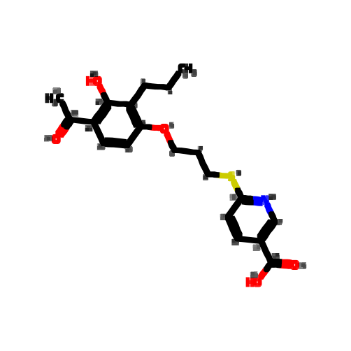 CCCc1c(OCCCSc2ccc(C(=O)O)cn2)ccc(C(C)=O)c1O